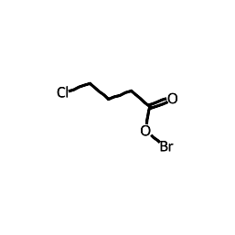 O=C(CCCCl)OBr